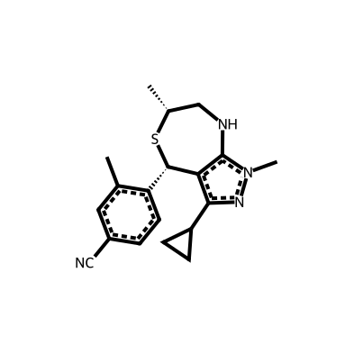 Cc1cc(C#N)ccc1[C@@H]1S[C@H](C)CNc2c1c(C1CC1)nn2C